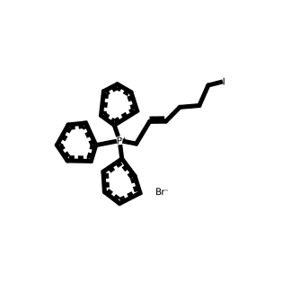 ICCCC=CC[P+](c1ccccc1)(c1ccccc1)c1ccccc1.[Br-]